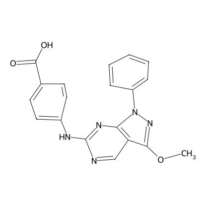 COc1nn(-c2ccccc2)c2nc(Nc3ccc(C(=O)O)cc3)ncc12